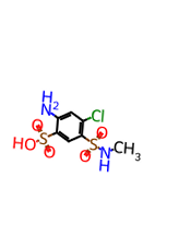 CNS(=O)(=O)c1cc(S(=O)(=O)O)c(N)cc1Cl